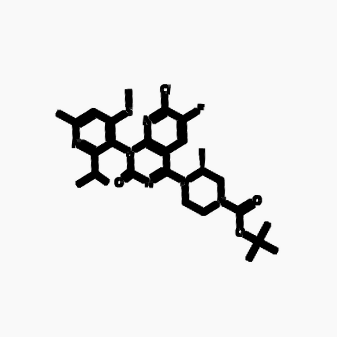 CSc1cc(C)nc(C(C)C)c1-n1c(=O)nc(N2CCN(C(=O)OC(C)(C)C)C[C@@H]2C)c2cc(F)c(Cl)nc21